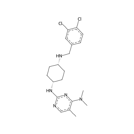 Cc1cnc(N[C@H]2CC[C@@H](NCc3ccc(Cl)c(Cl)c3)CC2)nc1N(C)C